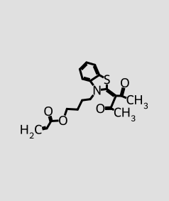 C=CC(=O)OCCCCN1C(=C(C(C)=O)C(C)=O)Sc2ccccc21